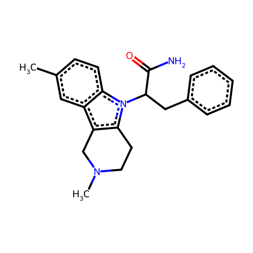 Cc1ccc2c(c1)c1c(n2C(Cc2ccccc2)C(N)=O)CCN(C)C1